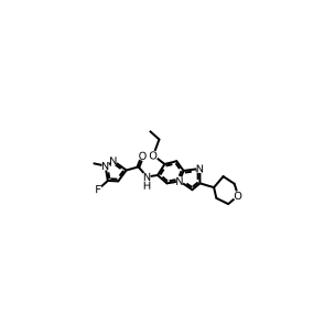 CCOc1cc2nc(C3CCOCC3)cn2cc1NC(=O)c1cc(F)n(C)n1